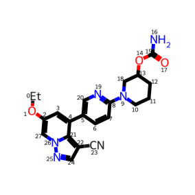 CCOc1cc(-c2ccc(N3CCCC(OC(N)=O)C3)nc2)c2c(C#N)cnn2c1